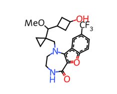 COC(C1CC(O)C1)C1(CN2CCNC(=O)c3oc4ccc(C(F)(F)F)cc4c32)CC1